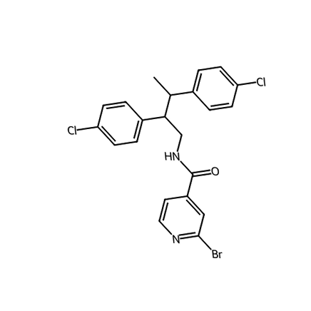 CC(c1ccc(Cl)cc1)C(CNC(=O)c1ccnc(Br)c1)c1ccc(Cl)cc1